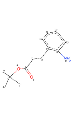 CC(C)(C)OC(=O)CCc1ccccc1N